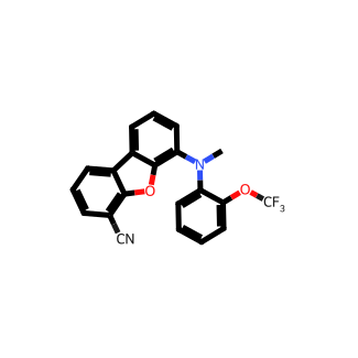 CN(c1ccccc1OC(F)(F)F)c1cccc2c1oc1c(C#N)cccc12